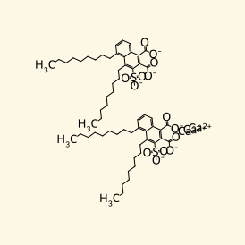 CCCCCCCCCc1cccc2c(C(=O)[O-])c(C(=O)[O-])c(S(=O)(=O)[O-])c(CCCCCCCCC)c12.CCCCCCCCCc1cccc2c(C(=O)[O-])c(C(=O)[O-])c(S(=O)(=O)[O-])c(CCCCCCCCC)c12.[Ca+2].[Ca+2].[Ca+2]